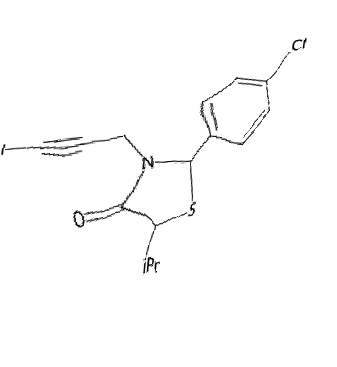 CC(C)C1SC(c2ccc(Cl)cc2)N(CC#CI)C1=O